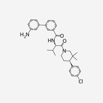 CC(C)[C@@H](NC(=O)c1cccc(-c2cccc(N)c2)c1)C(=O)N1CC[C@H](c2ccc(Cl)cc2)C(C)(C)C1